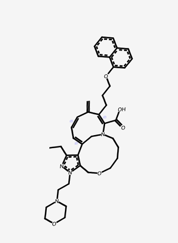 C=C1/C=C\C=C2/CN(CCCCOCc3c2c(CC)nn3CCN2CCOCC2)/C(C(=O)O)=C\1CCCOc1cccc2ccccc12